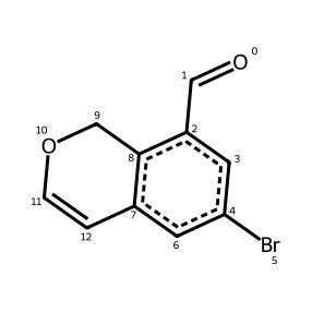 O=Cc1cc(Br)cc2c1COC=C2